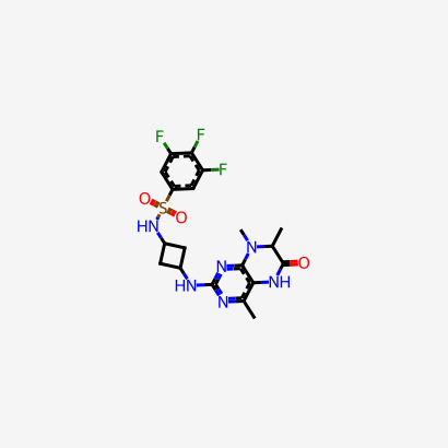 Cc1nc(NC2CC(NS(=O)(=O)c3cc(F)c(F)c(F)c3)C2)nc2c1NC(=O)C(C)N2C